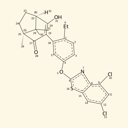 CCc1ccc(Oc2nc3c(Cl)cc(Cl)cc3s2)cc1C1=C(O)[C@@H]2CC[C@](C)(C1=O)C2(C)C